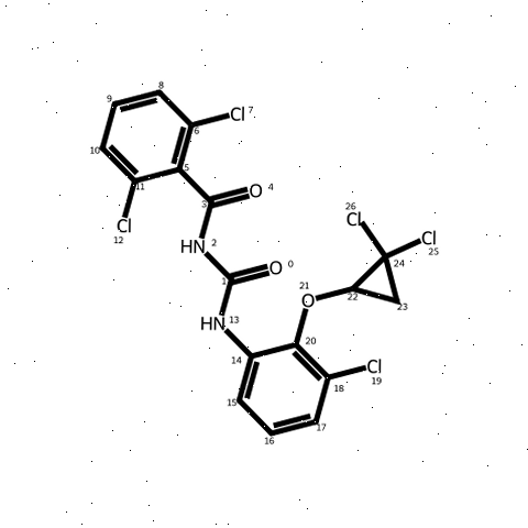 O=C(NC(=O)c1c(Cl)cccc1Cl)Nc1cccc(Cl)c1OC1CC1(Cl)Cl